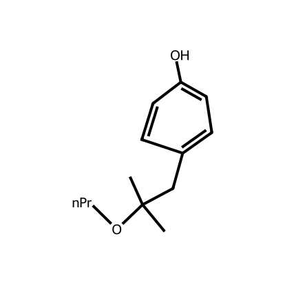 CCCOC(C)(C)Cc1ccc(O)cc1